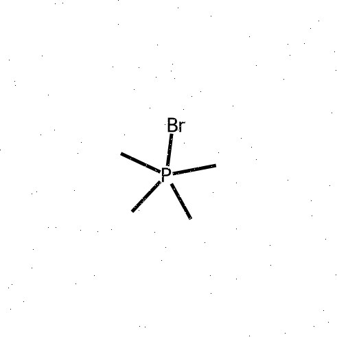 CP(C)(C)(C)Br